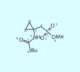 COS(=O)(=O)CC1(NC(=O)C(C)(C)C)CC1